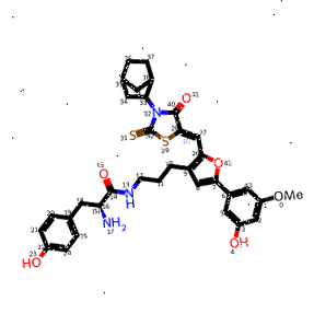 COc1cc(O)cc(-c2cc(CCCNC(=O)[C@@H](N)Cc3ccc(O)cc3)c(/C=C3\SC(=S)N(C4CC5CCC4C5)C3=O)o2)c1